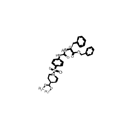 COC(OC)C1CCN(S(=O)(=O)c2ccc(NC(=O)N[C@@H](Cc3ccccc3)C(=O)OCc3ccccc3)cc2)CC1